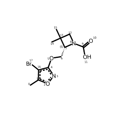 Cc1onc(OC[C@H]2N(C(=O)O)CC2(C)C)c1Br